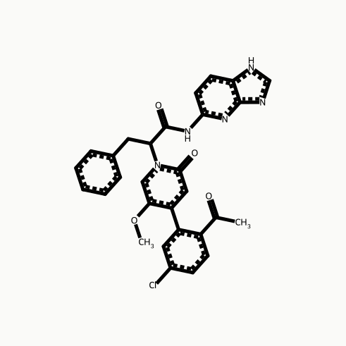 COc1cn(C(Cc2ccccc2)C(=O)Nc2ccc3[nH]cnc3n2)c(=O)cc1-c1cc(Cl)ccc1C(C)=O